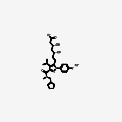 CC(C)c1c(C(=O)N(C)CC2CCCC2)nn(-c2ccc(F)cc2)c1CC[C@@H](O)C[C@@H](O)CC(=O)[O-].[Na+]